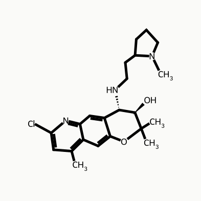 Cc1cc(Cl)nc2cc3c(cc12)OC(C)(C)[C@H](O)[C@H]3NCCC1CCCN1C